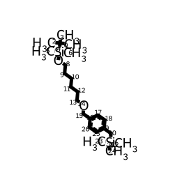 CC(C)(C)[Si](C)(C)OCCCCCCOCc1ccc(C[Si](C)(C)C)cc1